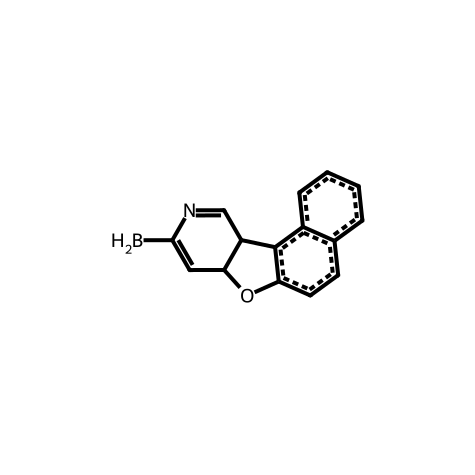 BC1=CC2Oc3ccc4ccccc4c3C2C=N1